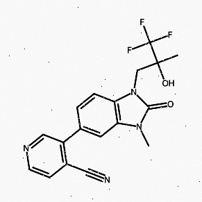 Cn1c(=O)n(CC(C)(O)C(F)(F)F)c2ccc(-c3cnccc3C#N)cc21